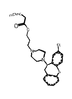 CCCCCCCCCCCC(=O)OCCCN1CCN(C2Cc3ccccc3Sc3ccc(CC)cc32)CC1